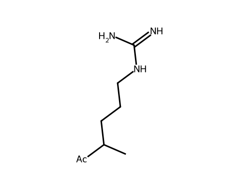 CC(=O)C(C)CCCNC(=N)N